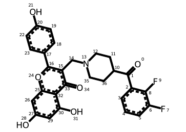 O=C(c1cccc(F)c1F)C1CCN(Cc2c(-c3ccc(O)cc3)oc3cc(O)cc(O)c3c2=O)CC1